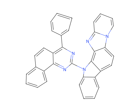 c1ccc(-c2nc(-n3c4ccccc4c4ccc5c(nc6ccccn65)c43)nc3c2ccc2ccccc23)cc1